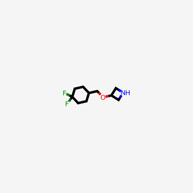 FC1(F)CCC(COC2CNC2)CC1